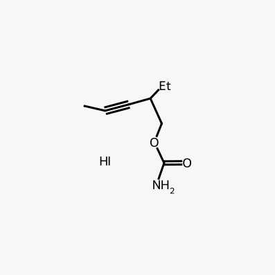 CC#CC(CC)COC(N)=O.I